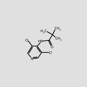 CC(C)(C)C(=O)Nc1c(Cl)cncc1Cl